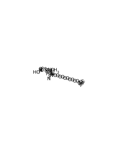 CCCN(CC#CCN/C(=N\c1cccc(C#N)c1)NCCOCCOCCOCCOCCOCCOCCOCCOCCOCCOCCC(=O)Oc1c(F)c(F)cc(F)c1F)CC1=Cc2ccc(-c3cccc(S(=O)(=O)N4CC(CO)C4)c3)cc2N=C(N)C1